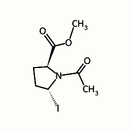 COC(=O)[C@@H]1CC[C@@H](I)N1C(C)=O